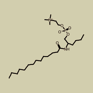 CCCCCCCCCCCCCC(=O)NC(CCCC)COP(=O)([O-])OCC[N+](C)(C)C